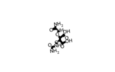 NC(=O)NOC(C(=O)O)C(ONC(N)=O)C(=O)O